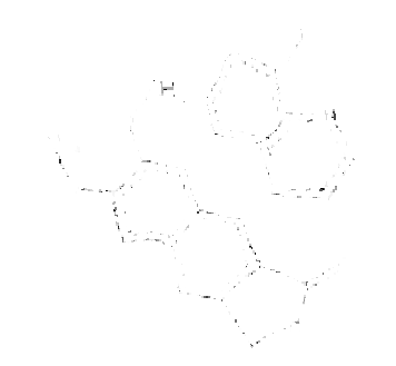 COc1cc2cc3c(c(-c4ccnc5c(F)cccc45)c2cc1OC)C(=O)OC3